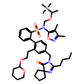 CCCCC1=NC2(CCCC2)C(=O)N1Cc1ccc(-c2ccccc2S(=O)(=O)N(COC(C)[Si](C)(C)C)c2onc(C)c2C)c(CCOC2CCCCO2)c1